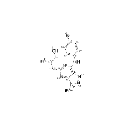 CC(C)[C@H](CO)Nc1nc(Nc2ccc(Br)cc2)c2nnn(C(C)C)c2n1